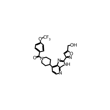 O=C(c1ccc(OC(F)(F)F)cc1)N1CCC(c2ccnc3[nH]c(-c4cc(CO)on4)nc23)CC1